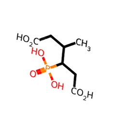 CC(CC(=O)O)C(CC(=O)O)P(=O)(O)O